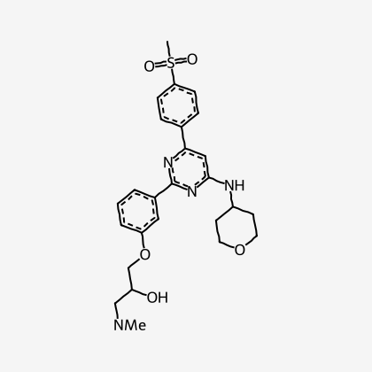 CNCC(O)COc1cccc(-c2nc(NC3CCOCC3)cc(-c3ccc(S(C)(=O)=O)cc3)n2)c1